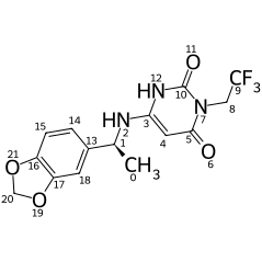 C[C@H](Nc1cc(=O)n(CC(F)(F)F)c(=O)[nH]1)c1ccc2c(c1)OCO2